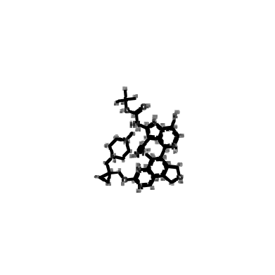 CN1CCN(CC2(COc3ncc4c5c(c(-c6ncc(F)c7sc(NC(=O)OC(C)(C)C)c(C#N)c67)c(F)c4n3)COC5)CC2)CC1